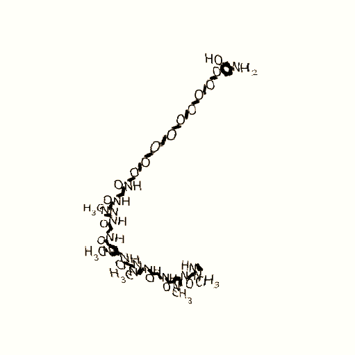 Cn1cc(NC(=O)c2nc(NC(=O)CCNC(=O)c3cc(NC(=O)c4nccn4C)cn3C)cn2C)cc1C(=O)NCCC(=O)Nc1cn(C)c(C(=O)NCCC(=O)NCCOCCOCCOCCOCCOCCOCCOCCOCCOc2ccc(N)cc2O)n1